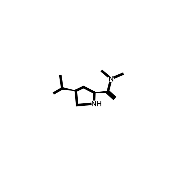 C=C([C@@H]1C[C@H](C(C)C)CN1)N(C)C